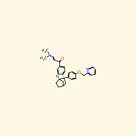 CN(C)/C=C/C(=O)c1ccc([C@]2(c3ccc(OCc4ccccn4)cc3)CC3CC[C@@H]2C3)cc1